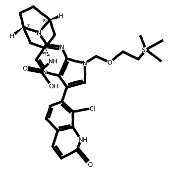 C[Si](C)(C)CCOCn1cc(-c2ccc3ccc(=O)[nH]c3c2Cl)c2ncc(N3[C@@H]4CC[C@H]3C[C@@H](NC(=O)O)C4)nc21